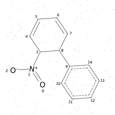 O=[N+]([O-])C1C=CC=CC1c1ccccc1